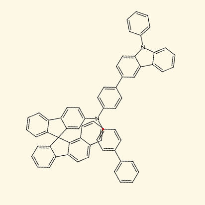 c1ccc(-c2ccc(N(c3ccc(-c4ccc5c(c4)c4ccccc4n5-c4ccccc4)cc3)c3ccc4c(c3)C3(c5ccccc5-4)c4ccccc4-c4ccc5ccccc5c43)cc2)cc1